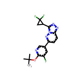 CC(C)(Oc1ncc(-c2ccc3nnc(C4CC4(F)F)n3n2)cc1F)C(F)(F)F